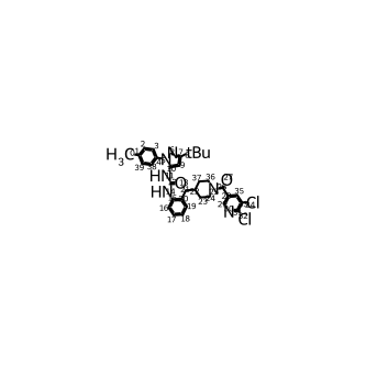 Cc1ccc(-n2nc(C(C)(C)C)cc2NC(=O)Nc2ccccc2CC2CCN(C(=O)c3cnc(Cl)c(Cl)c3)CC2)cc1